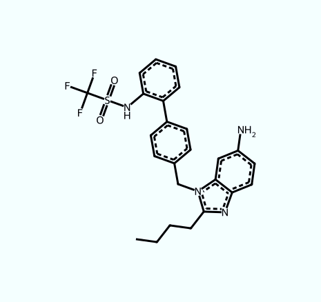 CCCCc1nc2ccc(N)cc2n1Cc1ccc(-c2ccccc2NS(=O)(=O)C(F)(F)F)cc1